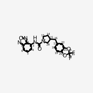 O=C(Nc1cccc2nonc12)N1CCC(Cc2ccc3c(c2)OC(F)(F)O3)C1